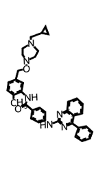 Cc1ccc(CON2CCN(CC3CC3)CC2)cc1NC(=O)c1ccc(Nc2nc(-c3ccccc3)c3ccccc3n2)cc1